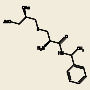 CC(=O)OC[C@H](CSC[C@H](N)C(=O)NC(C)c1ccccc1)OC(C)=O